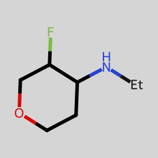 CCNC1CCOCC1F